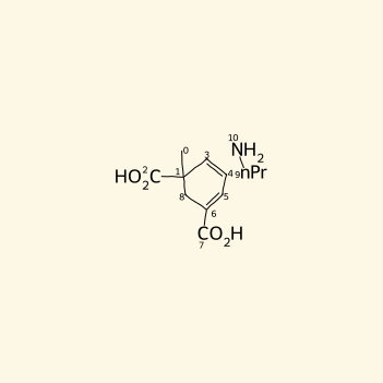 CC1(C(=O)O)C=CC=C(C(=O)O)C1.CCCN